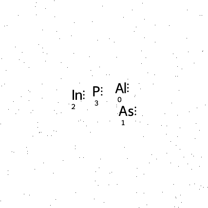 [Al].[As].[In].[P]